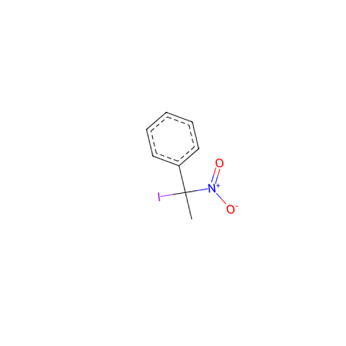 CC(I)(c1ccccc1)[N+](=O)[O-]